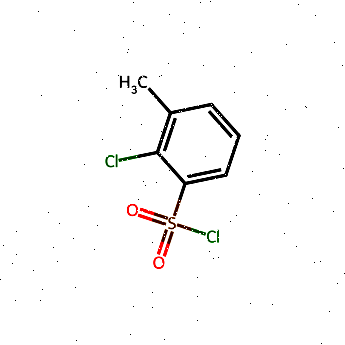 Cc1cccc(S(=O)(=O)Cl)c1Cl